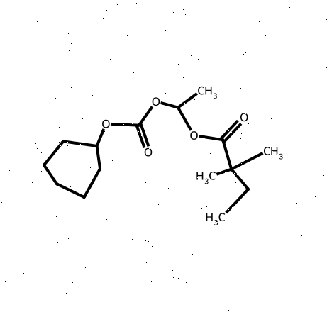 CCC(C)(C)C(=O)OC(C)OC(=O)OC1CCCCC1